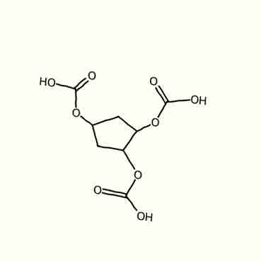 O=C(O)OC1CC(OC(=O)O)C(OC(=O)O)C1